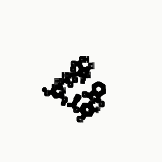 C#CC(C)Oc1cc(N2C(=O)C3=C(CCCC3)C2=O)c(F)cc1Cl.COc1cc(OC)nc(NC(=O)NS(=O)(=O)c2c(C(=O)O)c(Cl)nn2C)n1